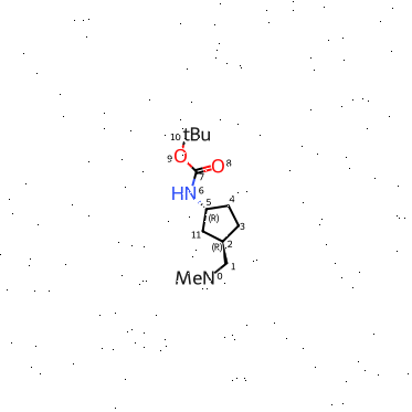 CNC[C@@H]1CC[C@@H](NC(=O)OC(C)(C)C)C1